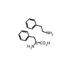 NCCc1ccccc1.N[C@@H](Cc1ccccc1)C(=O)O